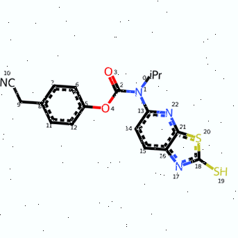 CC(C)N(C(=O)Oc1ccc(CC#N)cc1)c1ccc2nc(S)sc2n1